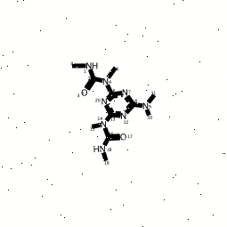 CNC(=O)N(C)c1nc(N(C)C)nc(N(C)C(=O)NC)n1